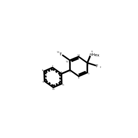 CCCCCCC1(F)C=CC(c2ccccc2)C(F)=C1